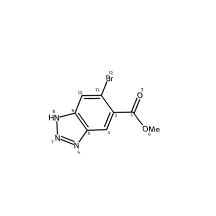 COC(=O)c1cc2nn[nH]c2cc1Br